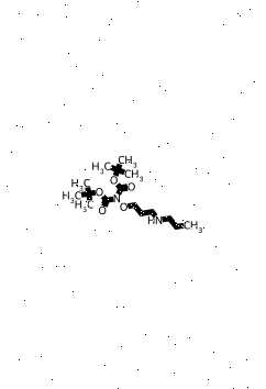 CCCNCCCON(C(=O)OC(C)(C)C)C(=O)OC(C)(C)C